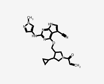 C=CC(=O)N1CC(COc2nc(Nc3cnn(C)c3)nc3[nH]cc(C#N)c23)C(C2CC2)C1